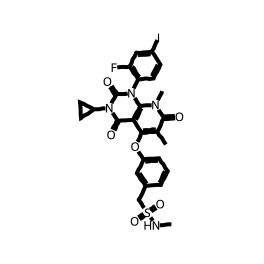 CNS(=O)(=O)Cc1cccc(Oc2c(C)c(=O)n(C)c3c2c(=O)n(C2CC2)c(=O)n3-c2ccc(I)cc2F)c1